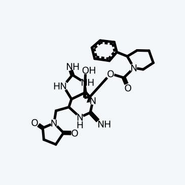 N=C1NC2C(CN3C(=O)CCC3=O)NC(=N)N3CC(OC(=O)N4CCCCC4c4ccccc4)C(O)C23N1